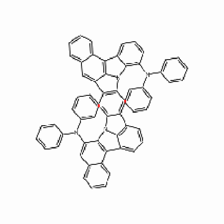 c1ccc(N(c2ccccc2)c2cccc3c4c5ccccc5cc5c6nc7c(cc6n(c23)c54)c2cccc3c4c5ccccc5cc(N(c5ccccc5)c5ccccc5)c4n7c23)cc1